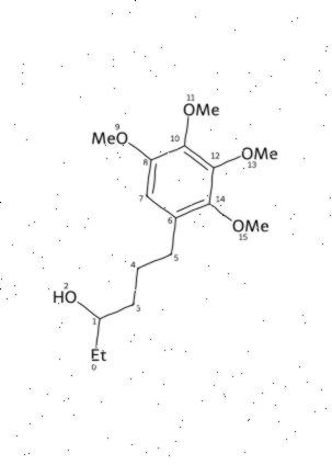 CCC(O)CCCc1cc(OC)c(OC)c(OC)c1OC